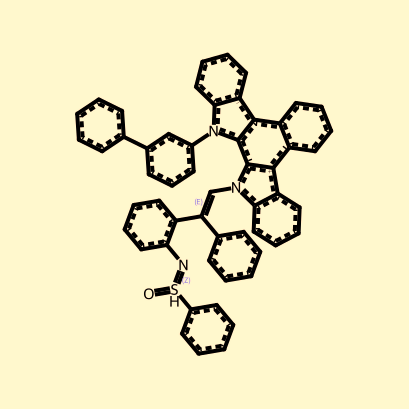 O=[SH](=N\c1ccccc1/C(=C/n1c2ccccc2c2c3ccccc3c3c4ccccc4n(-c4cccc(-c5ccccc5)c4)c3c21)c1ccccc1)/c1ccccc1